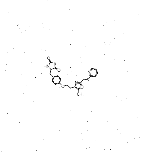 Cc1oc(CSc2ccccn2)nc1CCOc1ccc(CC2NC(=O)SC2=O)cc1